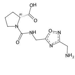 NCc1noc(CNC(=O)N2CCC[C@@H]2C(=O)O)n1